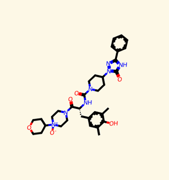 Cc1cc(C[C@@H](NC(=O)N2CCC(n3nc(-c4ccccc4)[nH]c3=O)CC2)C(=O)N2CC[N+]([O-])(C3CCOCC3)CC2)cc(C)c1O